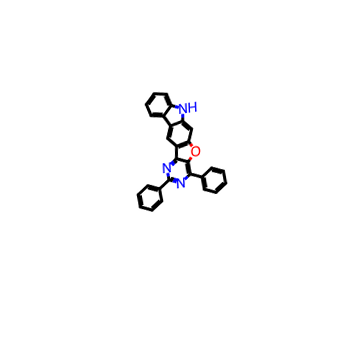 c1ccc(-c2nc(-c3ccccc3)c3oc4cc5[nH]c6ccccc6c5cc4c3n2)cc1